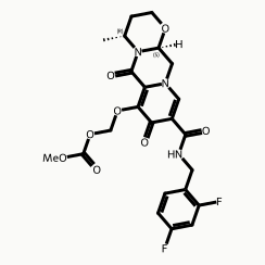 COC(=O)OCOc1c2n(cc(C(=O)NCc3ccc(F)cc3F)c1=O)C[C@@H]1OCC[C@@H](C)N1C2=O